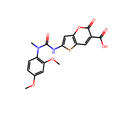 COc1ccc(N(C)C(=O)Nc2cc3oc(=O)c(C(=O)O)cc3s2)c(OC)c1